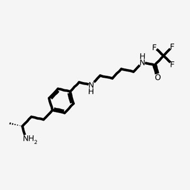 C[C@@H](N)CCc1ccc(CNCCCCNC(=O)C(F)(F)F)cc1